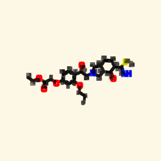 CCCOc1cc(OCC(=O)OCC)ccc1C(=O)CN1C=C2C=CC(C(=N)SC)C(=O)C2C1